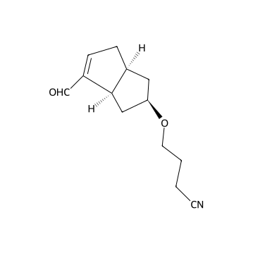 N#CCCCO[C@@H]1C[C@@H]2CC=C(C=O)[C@@H]2C1